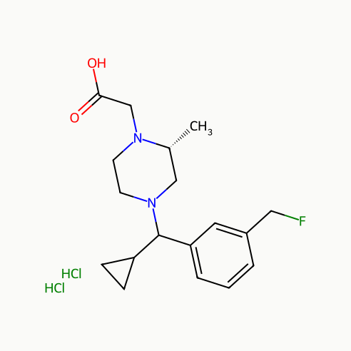 C[C@@H]1CN(C(c2cccc(CF)c2)C2CC2)CCN1CC(=O)O.Cl.Cl